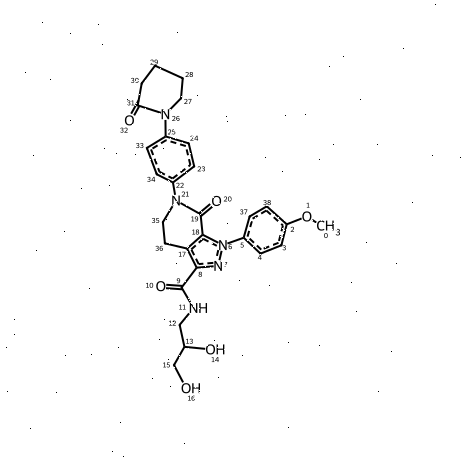 COc1ccc(-n2nc(C(=O)NCC(O)CO)c3c2C(=O)N(c2ccc(N4CCCCC4=O)cc2)CC3)cc1